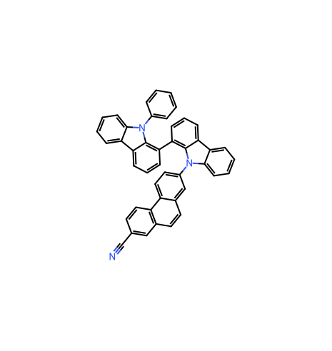 N#Cc1ccc2c(ccc3cc(-n4c5ccccc5c5cccc(-c6cccc7c8ccccc8n(-c8ccccc8)c67)c54)ccc32)c1